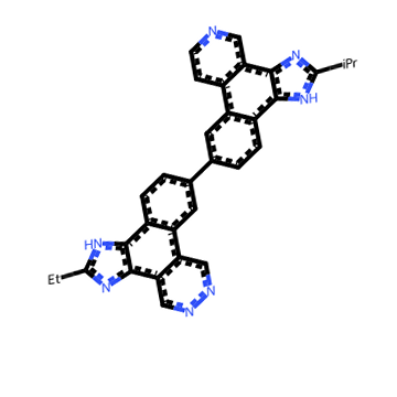 CCc1nc2c3cnncc3c3cc(-c4ccc5c(c4)c4ccncc4c4nc(C(C)C)[nH]c54)ccc3c2[nH]1